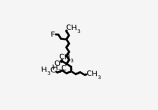 CCCCC(CCCC)CC(C)(CCCCCC(CCC)CCF)C(C)=O